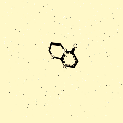 O=c1ccnc2n1C=CCS2